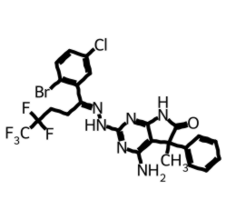 CC1(c2ccccc2)C(=O)Nc2nc(N/N=C(\CCC(F)(F)C(F)(F)F)c3cc(Cl)ccc3Br)nc(N)c21